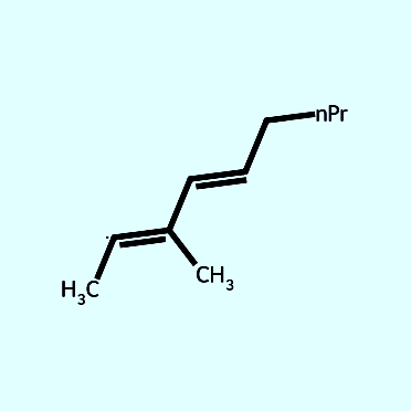 C/[C]=C(\C)C=CCCCC